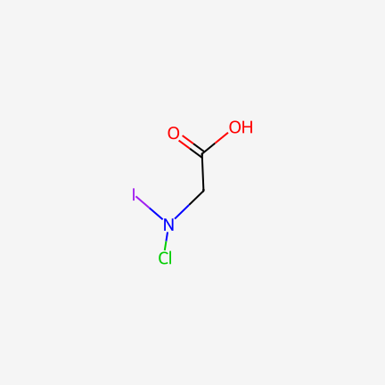 O=C(O)CN(Cl)I